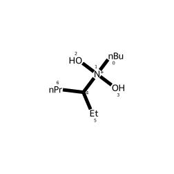 CCCC[N+](O)(O)C(CC)CCC